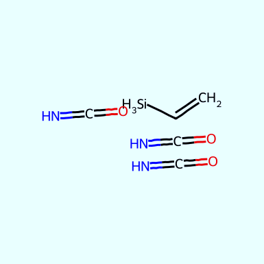 C=C[SiH3].N=C=O.N=C=O.N=C=O